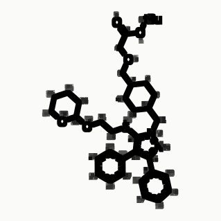 CC(C)(C)OC(=O)COCC1CCC(Cn2nc(-c3ccccc3)c(-c3ccccc3)c2SCCOC2CCCCO2)CC1